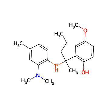 CCCC(C)(Pc1ccc(C)cc1N(C)C)c1cc(OC)ccc1O